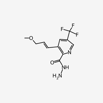 COCC=Cc1cc(C(F)(F)F)cnc1C(=O)NN